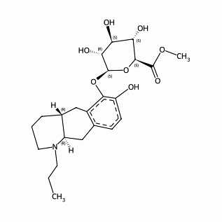 CCCN1CCC[C@@H]2Cc3c(ccc(O)c3O[C@@H]3O[C@H](C(=O)OC)[C@@H](O)[C@H](O)[C@H]3O)C[C@H]21